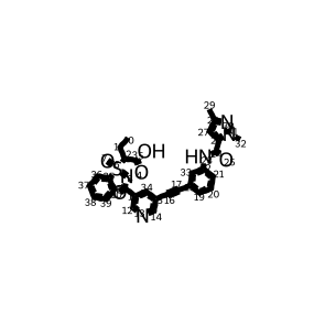 CCC(C(=O)O)S(=O)(=NC(=O)c1cncc(C#Cc2cccc(NC(=O)c3cc(C)nn3C)c2)c1)c1ccccc1